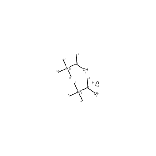 CC(O)[N+](C)(C)C.CC(O)[N+](C)(C)C.O